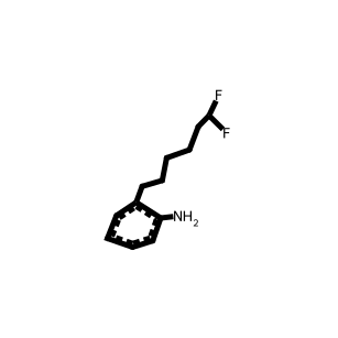 Nc1ccccc1CCCCCC(F)F